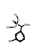 CCOP(=O)(OCC)C(OC)c1cccc(Br)c1